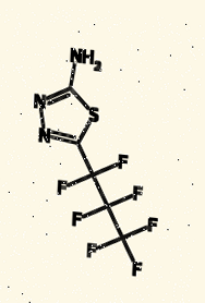 Nc1nnc(C(F)(F)C(F)(F)C(F)(F)F)s1